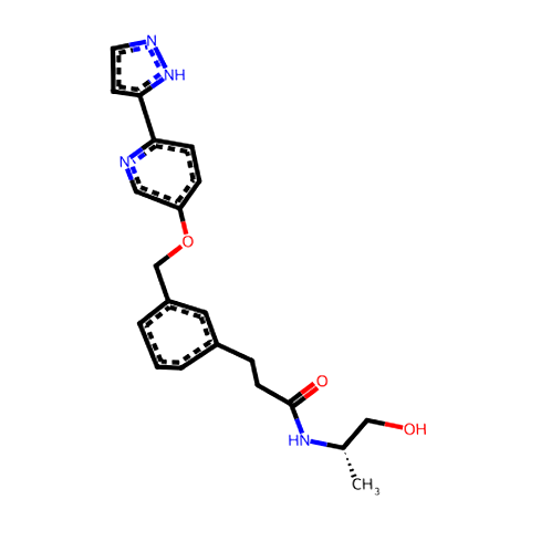 C[C@@H](CO)NC(=O)CCc1cccc(COc2ccc(-c3ccn[nH]3)nc2)c1